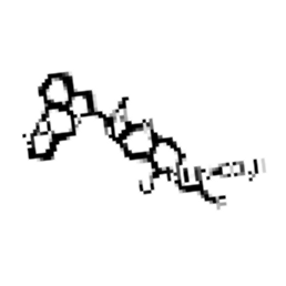 Cc1cccc2cc(-c3nc4cc5c(nc4n3C)CCN(CC(CF)NC(=O)O)C5=O)n(Cc3ccno3)c12